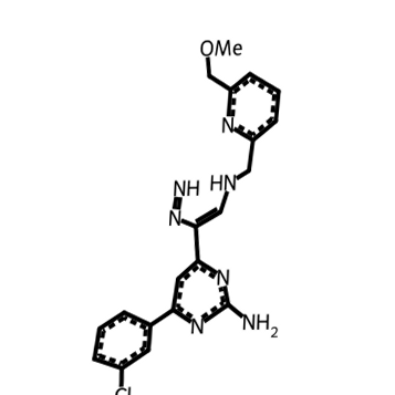 COCc1cccc(CN/C=C(\N=N)c2cc(-c3cccc(Cl)c3)nc(N)n2)n1